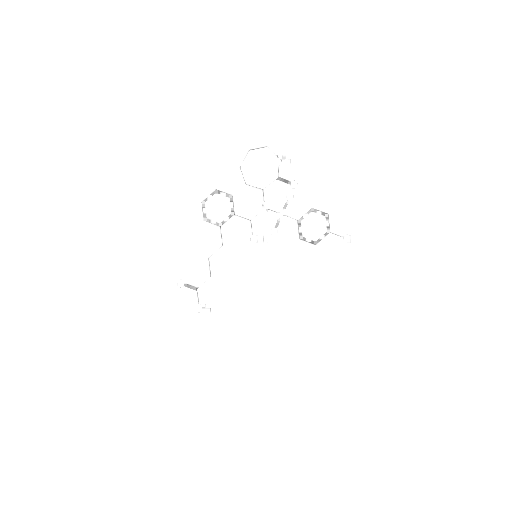 CC(c1ccccc1CCCC(=O)O)N(C1CCCCNC1=O)S(=O)(=O)c1ccc(Cl)cc1